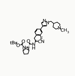 CN1CCC(Cn2cc(-c3ccc(C[C@@H](C#N)NC(=O)[C@@H]4C5CCC(C5)N4C(=O)OC(C)(C)C)c(F)c3)cn2)CC1